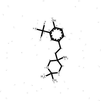 CC1(C)OCC(N)(CCc2ccc(O)c(C(F)(F)F)c2)CO1